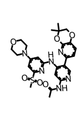 CC(=O)Nc1cc(Nc2cc(N3CCOCC3)cc(S(C)(=O)=O)n2)c(-c2ccc3c(n2)OC(C)(C)CO3)cn1